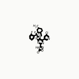 CC1CCC(Cn2c(C(C)(F)c3ccccc3F)nc3nc(-c4noc(=O)[nH]4)nc(-c4cncc(Cl)c4)c32)CC1